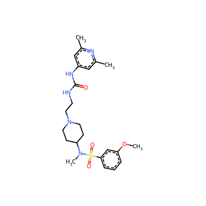 COc1cccc(S(=O)(=O)N(C)C2CCN(CCNC(=O)Nc3cc(C)nc(C)c3)CC2)c1